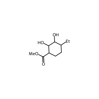 CCC1CCC(C(=O)OC)C(O)C1O